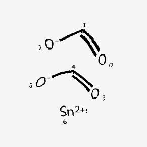 O=[C][O-].O=[C][O-].[Sn+2]